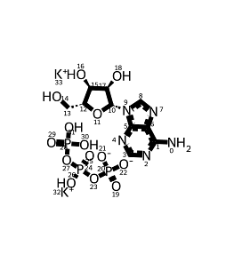 Nc1ncnc2c1ncn2[C@@H]1O[C@H](CO)[C@@H](O)[C@H]1O.O=P([O-])([O-])OP(=O)(O)OP(=O)(O)O.[K+].[K+]